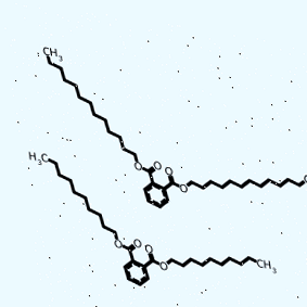 CCCCCCCCCCCCCOC(=O)c1ccccc1C(=O)OCCCCCCCCCCCCC.CCCCCCCCCCOC(=O)c1ccccc1C(=O)OCCCCCCCCCC